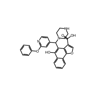 O=C(O)c1coc2c1c(C(c1ccnc(Oc3ccccc3)c1)N1CCNCC1)c(O)c1ccccc12